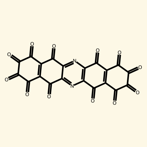 O=c1c(=O)c(=O)c2c(=O)c3nc4c(=O)c5c(=O)c(=O)c(=O)c(=O)c5c(=O)c4nc3c(=O)c2c1=O